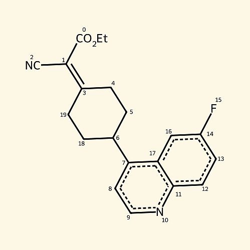 CCOC(=O)C(C#N)=C1CCC(c2ccnc3ccc(F)cc23)CC1